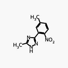 Cc1ccc([N+](=O)[O-])c(-c2n[nH]c(C)n2)c1